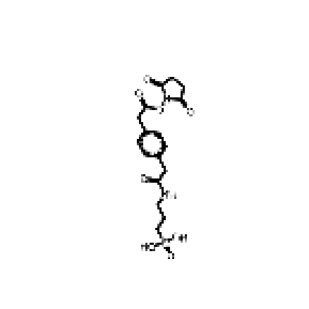 O=C(Cc1ccc(CC(=O)ON2C(=O)CCC2=O)cc1)NCCCP(=O)(O)O